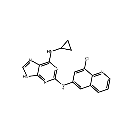 Clc1cc(Nc2nc(NC3CC3)c3nc[nH]c3n2)cc2cccnc12